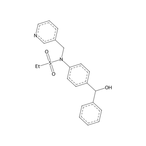 CCS(=O)(=O)N(Cc1cccnc1)c1ccc(C(O)c2ccccc2)cc1